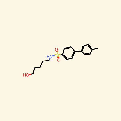 Cc1ccc(-c2ccc(S(=O)(=O)NCCCCCO)cc2)cc1